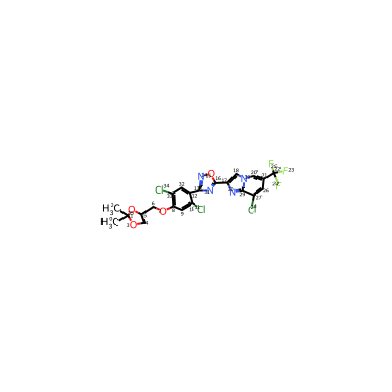 CC1(C)OCC(COc2cc(Cl)c(-c3noc(-c4cn5cc(C(F)(F)F)cc(Cl)c5n4)n3)cc2Cl)O1